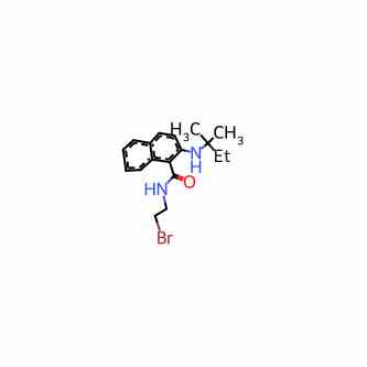 CCC(C)(C)Nc1ccc2ccccc2c1C(=O)NCCBr